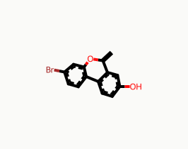 C=C1Oc2cc(Br)ccc2-c2ccc(O)cc21